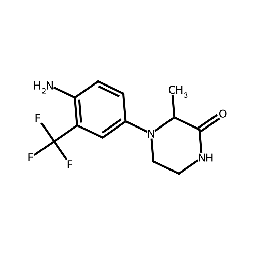 CC1C(=O)NCCN1c1ccc(N)c(C(F)(F)F)c1